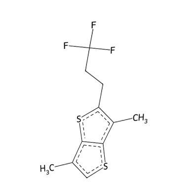 Cc1csc2c(C)c(CCC(F)(F)F)sc12